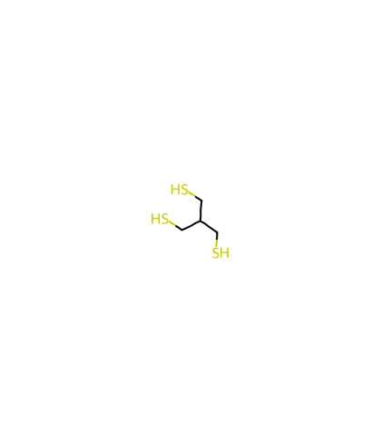 SCC(CS)CS